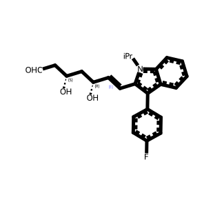 CC(C)n1c(/C=C/[C@H](O)C[C@H](O)CC=O)c(-c2ccc(F)cc2)c2ccccc21